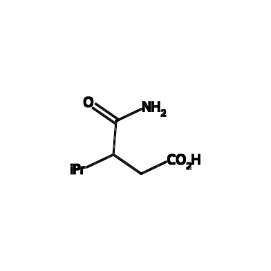 CC(C)C(CC(=O)O)C(N)=O